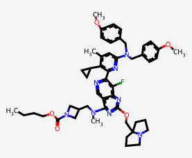 CCCCOC(=O)N1CC(CN(C)c2nc(OCC34CCCN3CCC4)nc3c(F)c(-c4nc(N(Cc5ccc(OC)cc5)Cc5ccc(OC)cc5)cc(C)c4C4CC4)ncc23)C1